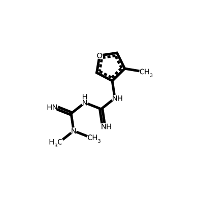 Cc1cocc1NC(=N)NC(=N)N(C)C